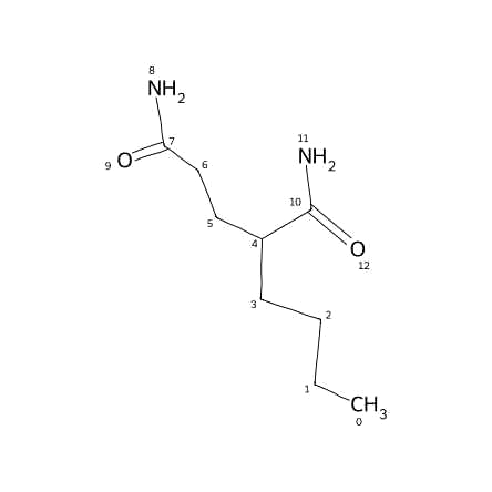 CCCCC(CCC(N)=O)C(N)=O